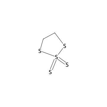 S=S1(=S)SCCS1